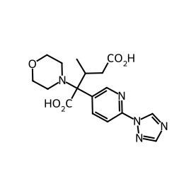 CC(CC(=O)O)C(C(=O)O)(c1ccc(-n2cncn2)nc1)N1CCOCC1